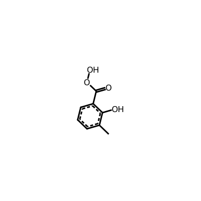 Cc1cccc(C(=O)OO)c1O